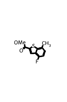 COC(=O)c1cc2c(F)ccc(C)c2s1